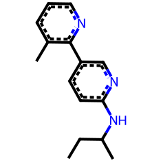 CCC(C)Nc1ccc(-c2ncccc2C)cn1